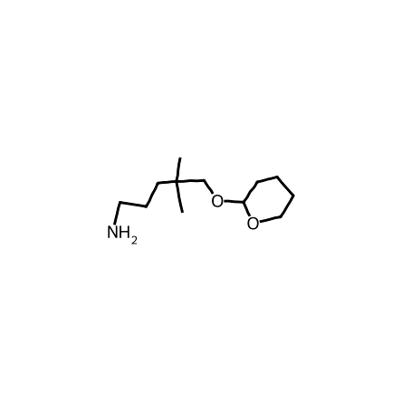 CC(C)(CCCN)COC1CCCCO1